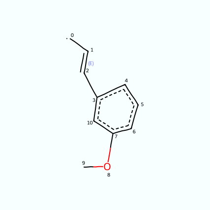 [CH2]/C=C/c1cccc(OC)c1